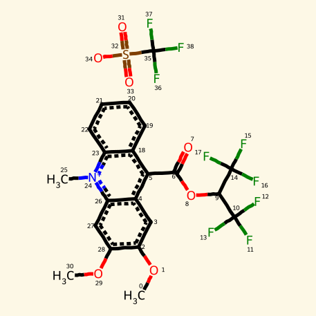 COc1cc2c(C(=O)OC(C(F)(F)F)C(F)(F)F)c3ccccc3[n+](C)c2cc1OC.O=S(=O)([O-])C(F)(F)F